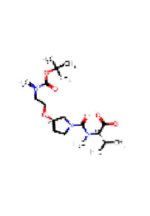 C=[N+](CCO[C@@H]1CCN(C(=O)N(C)[C@H](C(=O)O)C(C)C)C1)C(=O)OC(C)(C)C